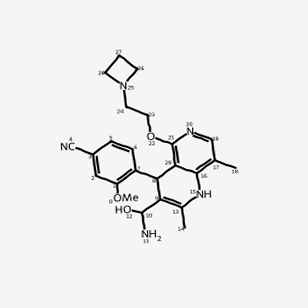 COc1cc(C#N)ccc1C1C(C(N)O)=C(C)Nc2c(C)cnc(OCCN3CCC3)c21